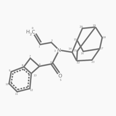 C=CCN(C(=O)C1Cc2ccccc21)C1C2CC3CC(C2)CC1C3